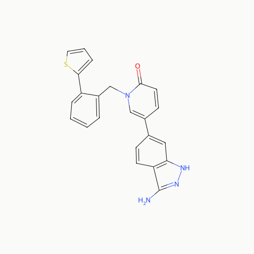 Nc1n[nH]c2cc(-c3ccc(=O)n(Cc4ccccc4-c4cccs4)c3)ccc12